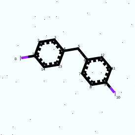 Ic1ccc(Cc2ccc(I)cc2)cc1